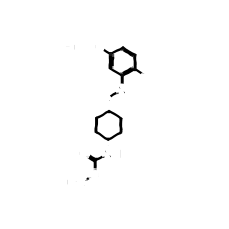 CCOC(=O)c1ccc(C(F)(F)F)c(NC[C@H]2CC[C@@H](NC(=O)OC(C)(C)C)CC2)c1